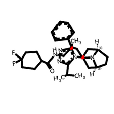 Cc1nnc(C(C)C)n1C1C[C@H]2CC[C@@H](C1)N2CCC(CNC(=O)C1CCC(F)(F)CC1)c1ccccc1